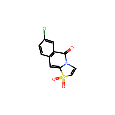 O=c1c2cc(Cl)ccc2cc2n1C=CS2(=O)=O